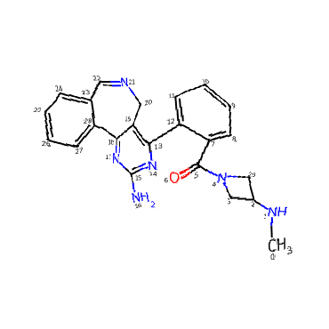 CNC1CN(C(=O)c2ccccc2-c2nc(N)nc3c2CN=Cc2ccccc2-3)C1